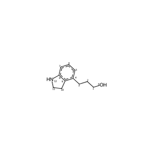 OCCCc1cccc2c1CCN2